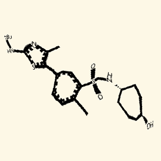 Cc1ccc(-c2sc(NC(C)(C)C)nc2C)cc1S(=O)(=O)N[C@H]1CC[C@H](O)CC1